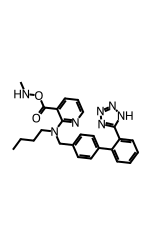 CCCCN(Cc1ccc(-c2ccccc2-c2nnn[nH]2)cc1)c1ncccc1C(=O)ONC